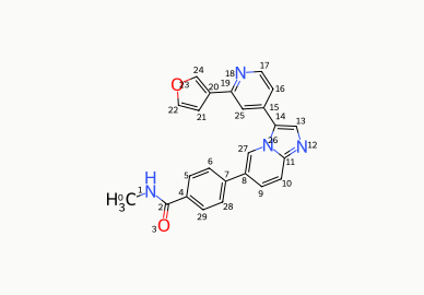 CNC(=O)c1ccc(-c2ccc3ncc(-c4ccnc(-c5ccoc5)c4)n3c2)cc1